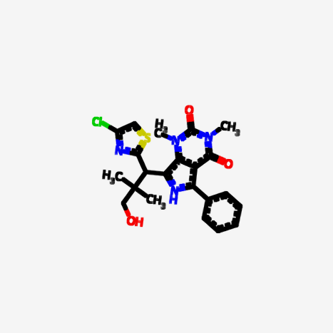 Cn1c(=O)c2c(-c3ccccc3)[nH]c(C(c3nc(Cl)cs3)C(C)(C)CO)c2n(C)c1=O